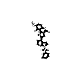 CCOc1ccc2oc(=O)c3cc(-c4ccnc5c4ccn5S(=O)(=O)c4ccccc4)[nH]c3c2c1F